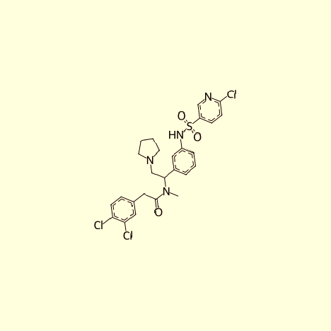 CN(C(=O)Cc1ccc(Cl)c(Cl)c1)C(CN1CCCC1)c1cccc(NS(=O)(=O)c2ccc(Cl)nc2)c1